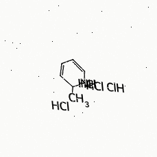 CC1C=CC=CN1.Cl.Cl.Cl.Cl